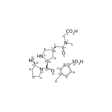 CN(CC(=O)O)C(=O)C[C@@H]1CN[C@H](C(=O)N2CCC[C@H]2C#N)C1.Cc1ccc(S(=O)(=O)O)cc1